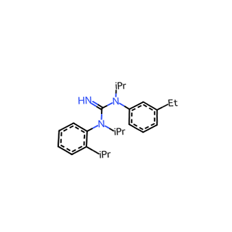 CCc1cccc(N(C(=N)N(c2ccccc2C(C)C)C(C)C)C(C)C)c1